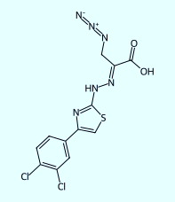 [N-]=[N+]=NC/C(=N\Nc1nc(-c2ccc(Cl)c(Cl)c2)cs1)C(=O)O